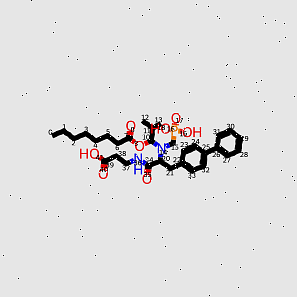 CCCCCCCC(=O)OC(C(C)C)N(CP(=O)(O)O)C(Cc1ccc(-c2ccccc2)cc1)C(=O)NCCC(=O)O